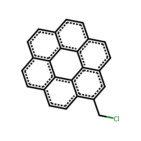 ClCc1cc2ccc3ccc4ccc5ccc6ccc1c1c6c5c4c3c21